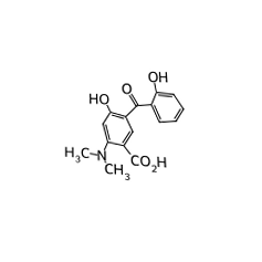 CN(C)c1cc(O)c(C(=O)c2ccccc2O)cc1C(=O)O